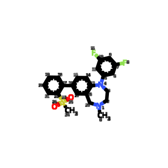 CN1CCN(c2cc(F)cc(F)c2)c2ccc(-c3ccccc3S(C)(=O)=O)cc2C1